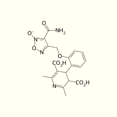 CC1=NC(C)=C(C(=O)O)C(c2ccccc2OCc2no[n+]([O-])c2C(N)=O)C1C(=O)O